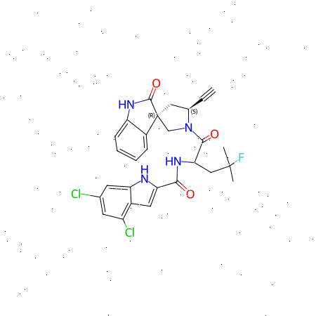 C#C[C@@H]1C[C@@]2(CN1C(=O)C(CC(C)(C)F)NC(=O)c1cc3c(Cl)cc(Cl)cc3[nH]1)C(=O)Nc1ccccc12